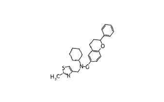 Cc1nc(CN(Oc2ccc3c(c2)CCC(c2ccccc2)O3)C2CCCCC2)cs1